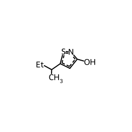 CCC(C)c1cc(O)ns1